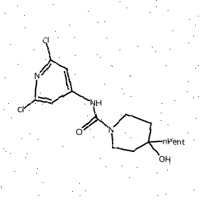 CCCCCC1(O)CCN(C(=O)Nc2cc(Cl)nc(Cl)c2)CC1